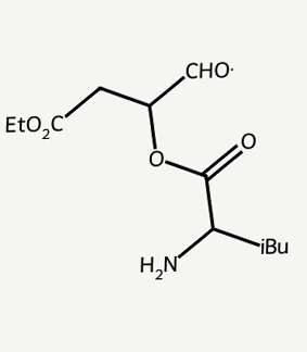 CCOC(=O)CC([C]=O)OC(=O)C(N)C(C)CC